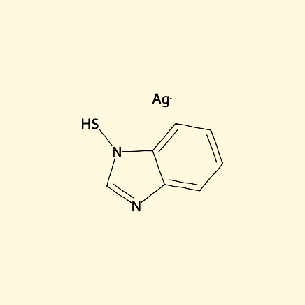 Sn1cnc2ccccc21.[Ag]